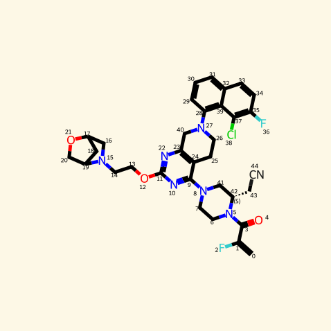 C=C(F)C(=O)N1CCN(c2nc(OCCN3CC4CC3CO4)nc3c2CCN(c2cccc4ccc(F)c(Cl)c24)C3)C[C@@H]1CC#N